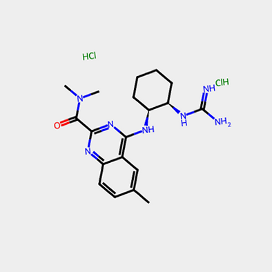 Cc1ccc2nc(C(=O)N(C)C)nc(N[C@H]3CCCC[C@H]3NC(=N)N)c2c1.Cl.Cl